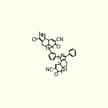 Cn1nc2c(c1Cl)CC[C@H]1C(C)(Cc3cccc(-n4nc(-c5ccccc5)c5c4[C@@]4(C)C=C(C#N)C(=O)C(C)(C)[C@@H]4CC5)c3)C(=O)C(C#N)=C[C@]21C